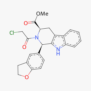 COC(=O)[C@H]1Cc2c([nH]c3ccccc23)[C@@H](c2ccc3c(c2)CCO3)N1C(=O)CCl